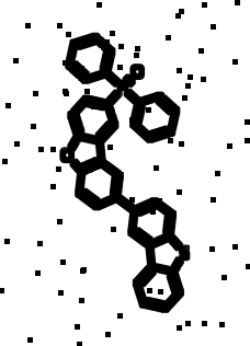 O=P(c1ccccc1)(c1ccccc1)c1ccc2oc3ccc(-c4ccc5sc6ccccc6c5c4)cc3c2c1